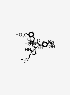 N=C1N(CCN)CCN1C(=O)N[C@@H](C(=O)N[C@H]1Cc2cccc(C(=O)O)c2OB1O)c1ccc(P(=O)(O)O)cc1